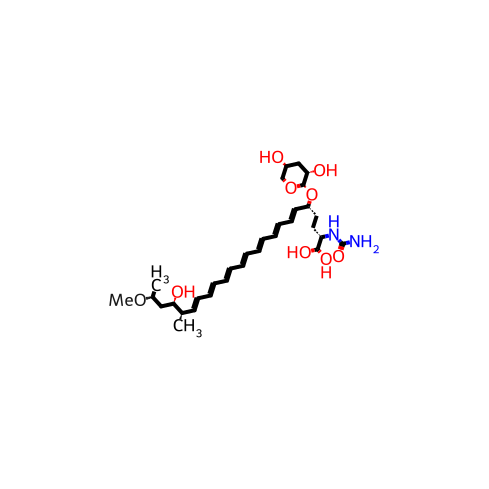 CO[C@@H](C)C[C@H](O)[C@@H](C)/C=C/C=C/C=C/C=C/C=C/C=C/C=C/[C@@H](CC[C@H](NC(N)=O)C(O)O)O[C@@H]1OC[C@@H](O)C[C@@H]1O